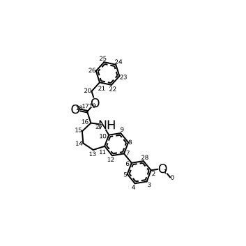 COc1cccc(-c2ccc3c(c2)CCCC(C(=O)OCc2ccccc2)N3)c1